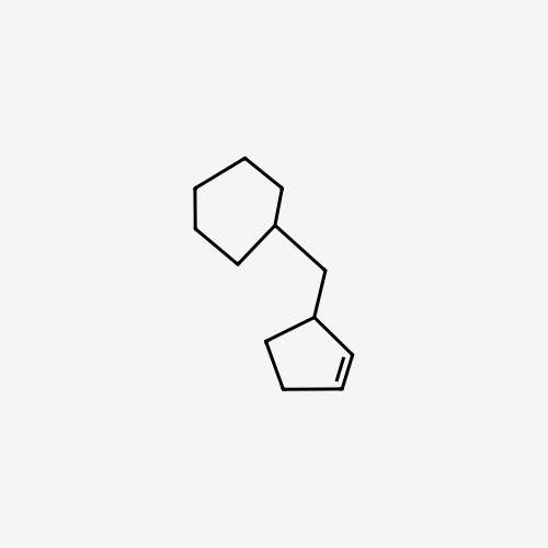 C1=CC(CC2CCCCC2)CC1